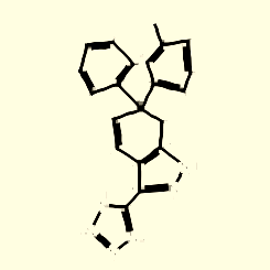 Fc1cccc(C2(c3ccccc3)C=Cc3c(-c4nnn[nH]4)n[nH]c3C2)c1